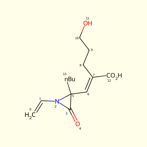 C=CN1C(=O)C1(C=C(CCCO)C(=O)O)CCCC